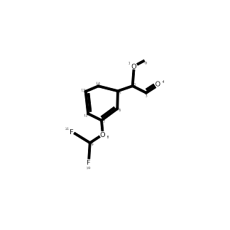 COC(C=O)C1C=C(OC(F)F)C=CC1